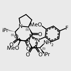 COC(=O)N(C(=O)[C@@H](N)C(C)C)C(=O)[C@@H]1CCCN1[C@H](C(=O)c1nn(-c2ccc(F)cc2OC)c(=O)o1)C(C)C